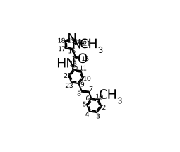 Cc1ccccc1/C=C/c1ccc(NC(=O)c2ccnn2C)cc1